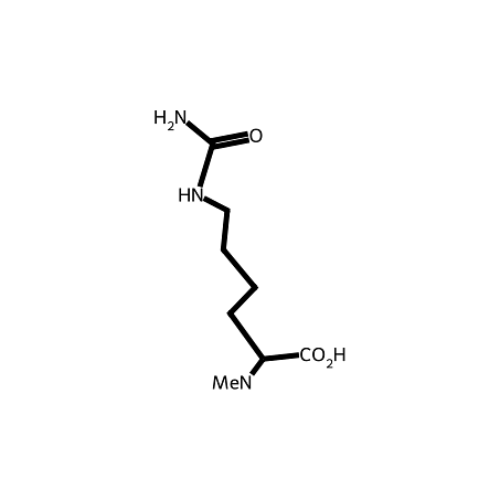 CNC(CCCCNC(N)=O)C(=O)O